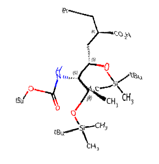 CC(C)C[C@H](C[C@H](O[Si](C)(C)C(C)(C)C)[C@@H](NC(=O)OC(C)(C)C)[C@@H](C)O[Si](C)(C)C(C)(C)C)C(=O)O